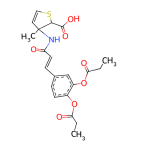 CCC(=O)Oc1ccc(/C=C/C(=O)NC2(C)C=CSC2C(=O)O)cc1OC(=O)CC